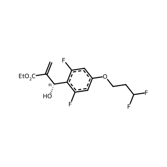 C=C(C(=O)OCC)[C@@H](O)c1c(F)cc(OCCC(F)F)cc1F